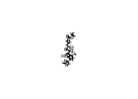 COc1cnc(-n2cnc(C)n2)c2[nH]cc(C(=O)C(=O)NCC3CN(C(=O)OC(C)(C)C)C3)c12